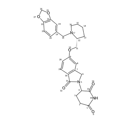 O=C1CCC(N2Cc3cc(OC[C@H]4CCCCN4Cc4ccc5c(c4)OCO5)ccc3C2=O)C(=O)N1